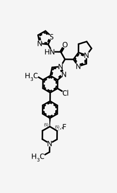 CCN1CC[C@@H](c2ccc(-c3cc(C)c4cn(C(C(=O)Nc5nccs5)c5ncn6c5CCC6)nc4c3Cl)cc2)[C@H](F)C1